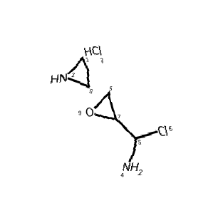 C1CN1.Cl.NC(Cl)C1CO1